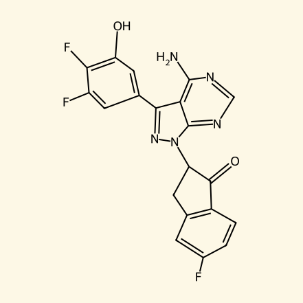 Nc1ncnc2c1c(-c1cc(O)c(F)c(F)c1)nn2C1Cc2cc(F)ccc2C1=O